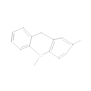 Cc1ccc2c(c1)Cc1ccccc1N2C